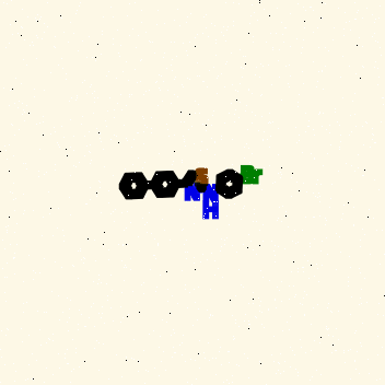 Brc1ccc(Nc2nc(-c3ccc(-c4ccccc4)cc3)cs2)cc1